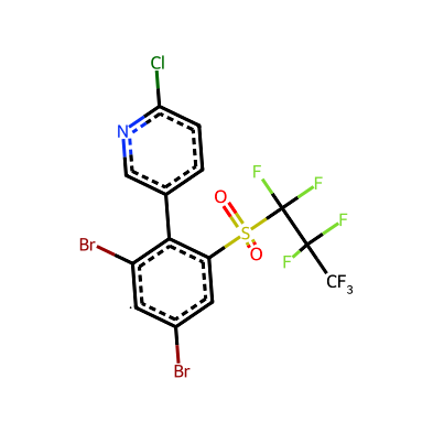 O=S(=O)(c1cc(Br)[c]c(Br)c1-c1ccc(Cl)nc1)C(F)(F)C(F)(F)C(F)(F)F